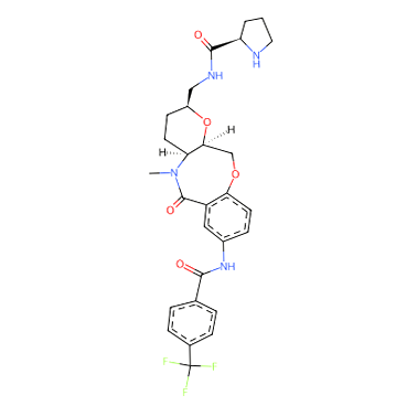 CN1C(=O)c2cc(NC(=O)c3ccc(C(F)(F)F)cc3)ccc2OC[C@@H]2O[C@H](CNC(=O)[C@H]3CCCN3)CC[C@@H]21